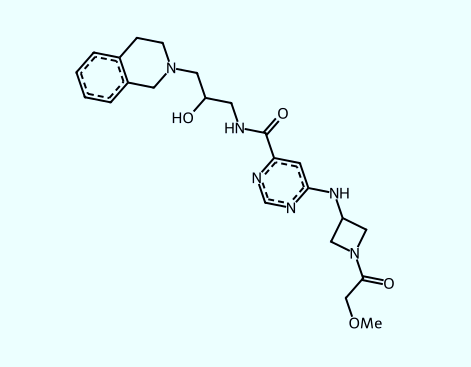 COCC(=O)N1CC(Nc2cc(C(=O)NCC(O)CN3CCc4ccccc4C3)ncn2)C1